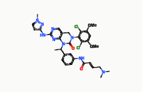 COc1cc(OC)c(Cl)c(N2Cc3cnc(Nc4ccn(C)n4)nc3N(C(C)c3cccc(NC(=O)/C=C/CN(C)C)c3)C2=O)c1Cl